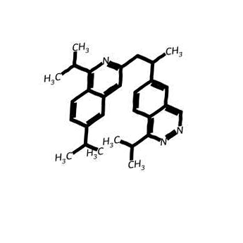 CC(C)c1ccc2c(C(C)C)nc(CC(C)c3ccc4c(C(C)C)nncc4c3)cc2c1